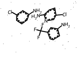 Nc1ccc(Cl)cn1.Nc1cccc(C(F)(F)F)c1.Nc1cccc(Cl)c1